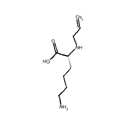 C=CCN[C@H](CCCCN)C(=O)O